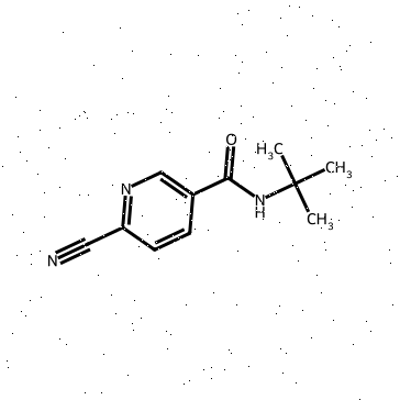 CC(C)(C)NC(=O)c1ccc(C#N)nc1